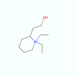 CC[N+]1(CC)CCCCC1CCO